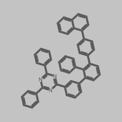 c1ccc(-c2nc(-c3ccccc3)nc(-c3cccc(-c4cccc(-c5ccc(-c6cccc7ccccc67)cc5)c4-c4ccccc4)c3)n2)cc1